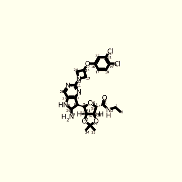 CCNC(=O)[C@H]1O[C@H](C2c3nc(N4CC(Oc5ccc(Cl)c(Cl)c5)C4)ncc3NC2N)[C@H]2OC(C)(C)O[C@@H]21